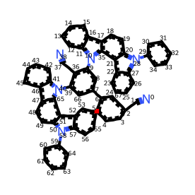 N#Cc1cccc(-c2cc(-n3c4ccccc4c4ccc5c(c6ccccc6n5-c5ccccc5)c43)c(C#N)c(-n3c4ccccc4c4ccc5c(c6ccccc6n5-c5ccccc5)c43)c2)c1